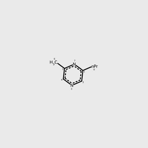 CCCc1cncc(C)n1